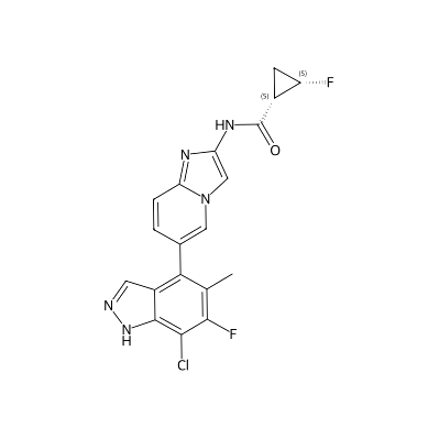 Cc1c(F)c(Cl)c2[nH]ncc2c1-c1ccc2nc(NC(=O)[C@@H]3C[C@@H]3F)cn2c1